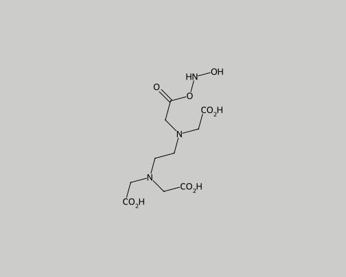 O=C(O)CN(CCN(CC(=O)O)CC(=O)ONO)CC(=O)O